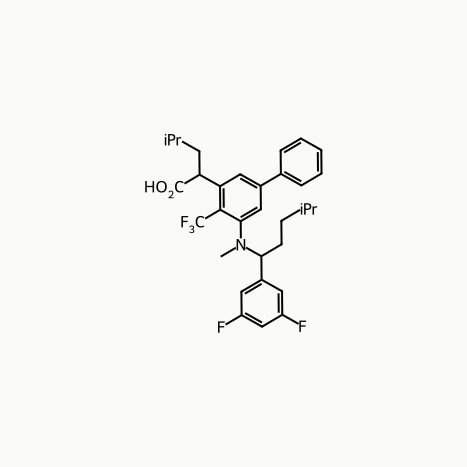 CC(C)CCC(c1cc(F)cc(F)c1)N(C)c1cc(-c2ccccc2)cc(C(CC(C)C)C(=O)O)c1C(F)(F)F